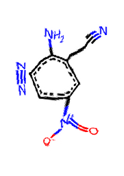 N#Cc1cc([N+](=O)[O-])ccc1N.N#N